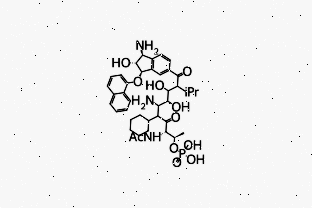 CC(=O)N[C@H](C(=O)C(C1CCCCC1)C(N)C(O)C(O)C(C(=O)c1ccc2c(c1)[C@@H](Oc1cccc3ccccc13)[C@H](O)[C@H]2N)C(C)C)[C@@H](C)OP(=O)(O)O